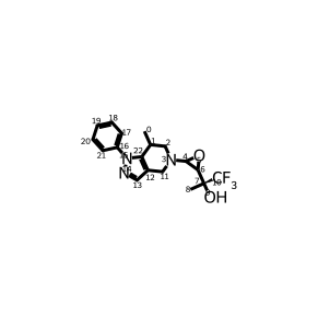 CC1CN(C2OC2[C@@](C)(O)C(F)(F)F)Cc2cnn(-c3ccccc3)c21